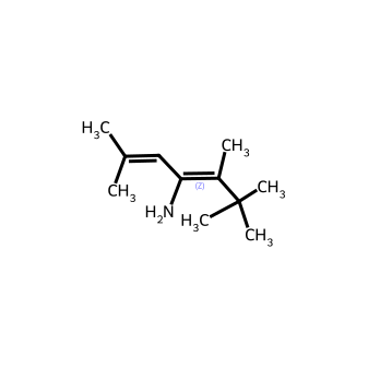 CC(C)=C/C(N)=C(\C)C(C)(C)C